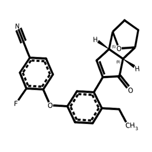 CCc1ccc(Oc2ccc(C#N)cc2F)cc1C1=C[C@@H]2C3CCC(O3)[C@@H]2C1=O